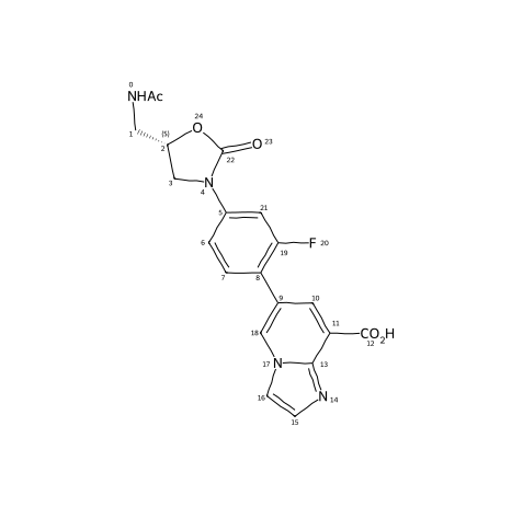 CC(=O)NC[C@H]1CN(c2ccc(-c3cc(C(=O)O)c4nccn4c3)c(F)c2)C(=O)O1